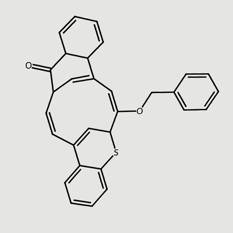 O=C1C2C=C(/C=C(/OCc3ccccc3)C3C=C(/C=C\2)c2ccccc2S3)C2C=CC=CC12